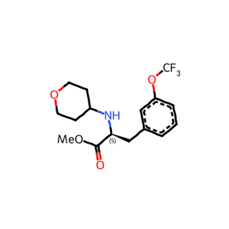 COC(=O)[C@H](Cc1cccc(OC(F)(F)F)c1)NC1CCOCC1